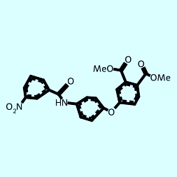 COC(=O)c1ccc(Oc2ccc(NC(=O)c3cccc([N+](=O)[O-])c3)cc2)cc1C(=O)OC